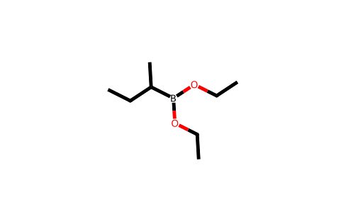 CCOB(OCC)C(C)CC